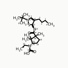 CCCCc1cn(C(C)(C)C)sc1=NC(=O)[C@]1(C)CC[C@H](N(CC)C(=O)O)C1(C)C